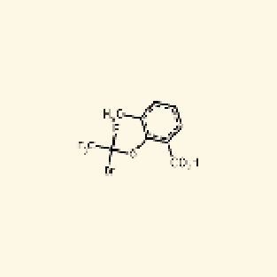 Cc1cccc(C(=O)O)c1OC(F)(Br)C(F)(F)F